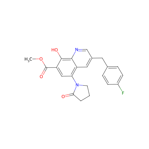 COC(=O)c1cc(N2CCCC2=O)c2cc(Cc3ccc(F)cc3)cnc2c1O